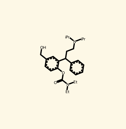 CCN(CC)C(=O)Oc1ccc(CO)cc1C(CCN(C(C)C)C(C)C)c1ccccc1